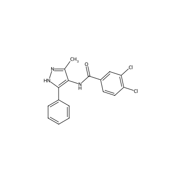 Cc1n[nH]c(-c2ccccc2)c1NC(=O)c1ccc(Cl)c(Cl)c1